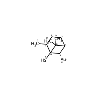 CC1CCC2CC1(S)C2(C)C.[Au]